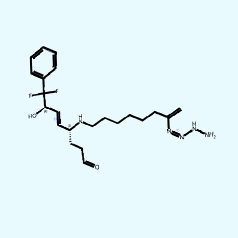 C=C(CCCCCCN[C@@H](/C=C/[C@@H](O)C(F)(F)c1ccccc1)CCC=O)/N=N\NN